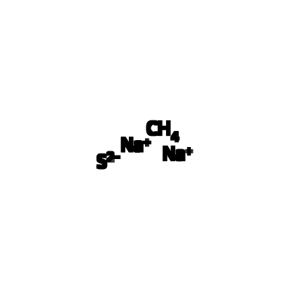 C.[Na+].[Na+].[S-2]